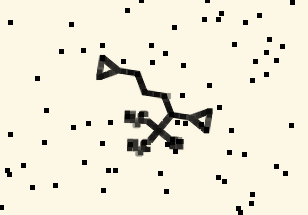 CCC(C)(C)C([CH]CCC1CC1)C1CC1